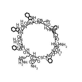 CC(C)C[C@@H]1NC(=O)[C@H](Cc2cnc[nH]2)NC(=O)[C@@H]2CCCN2C(=O)[C@H](CC(N)=O)NC(=O)[C@H](C)N(C)C(=O)[C@H](Cc2ccccc2)NC(=O)CSC[C@@H](C(=O)NCC(N)=O)NC(=O)C(CCCNC(=N)N)NC(=O)[C@H](COCc2ccccc2)N(C)C(=O)[C@H](C)N(C)C(=O)[C@H](Cc2c[nH]c3ccccc23)NC(=O)[C@H](CO)NC(=O)[C@H](Cc2c[nH]c3ccccc23)NC(=O)CN(C)C1=O